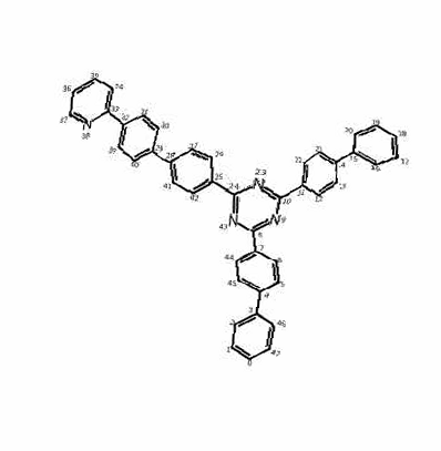 c1ccc(-c2ccc(-c3nc(-c4ccc(-c5ccccc5)cc4)nc(-c4ccc(-c5ccc(-c6ccccn6)cc5)cc4)n3)cc2)cc1